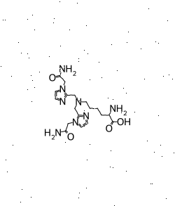 NC(=O)Cn1ccnc1CN(CCCCC(N)C(=O)O)Cc1nccn1CC(N)=O